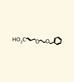 O=C(O)/C=C/COCCOCc1ccccc1